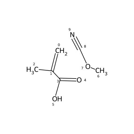 C=C(C)C(=O)O.COC#N